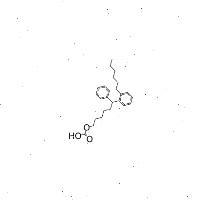 CCCCCCc1ccccc1C(CCCCCOC(=O)O)c1ccccc1